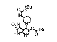 CC(C)(C)OC(=O)NC1CCCN(c2c(OC(=O)C(C)(C)C)cnc3[nH]cc([N+](=O)[O-])c23)C1